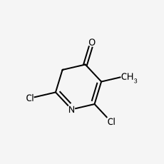 CC1=C(Cl)N=C(Cl)CC1=O